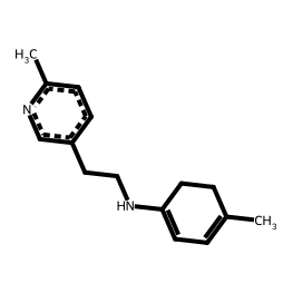 CC1=CC=C(NCCc2ccc(C)nc2)CC1